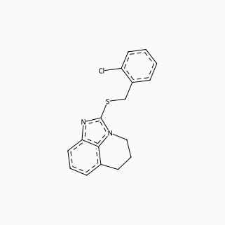 Clc1ccccc1CSc1nc2cccc3c2n1CCC3